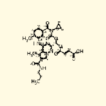 CCCNC(=O)c1cn2ncnc(Nc3cc(C(=O)N(C(=O)OCOC(=O)/C=C/C(=O)O)C4CC4)ccc3C)c2c1C